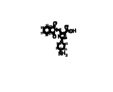 NC1CCN(c2nc(CN3C(=O)c4ccccc4C3=O)c(C(=O)O)s2)CC1